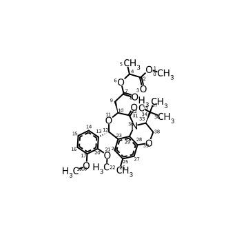 COC(=O)C(C)OC(=O)C[C@@H]1O[C@@H](c2cccc(OC)c2OC)c2cc(C)cc3c2N(C1=O)[C@@H](C(C)(C)C)CO3